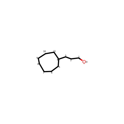 [O]CCCC1CCCCCCC1